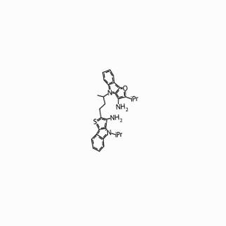 CC(C)c1oc2c3ccccc3n(C(C)CCc3sc4c5ccccc5n(C(C)C)c4c3N)c2c1N